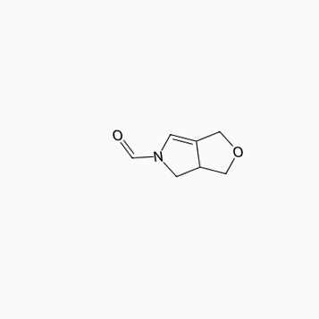 O=CN1C=C2COCC2C1